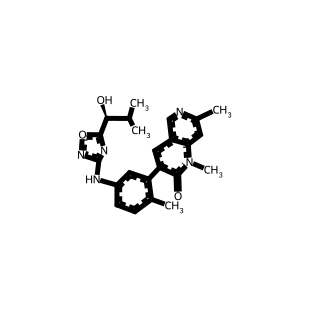 Cc1cc2c(cn1)cc(-c1cc(Nc3noc([C@@H](O)C(C)C)n3)ccc1C)c(=O)n2C